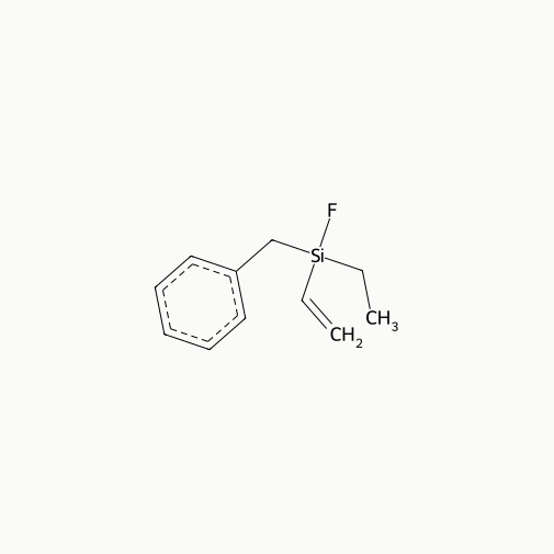 C=C[Si](F)(CC)Cc1ccccc1